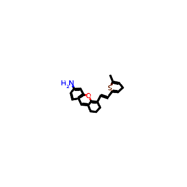 CC1=CCC=C(C=CC2=C3Oc4cc(N)ccc4C=C3CCC2)S1